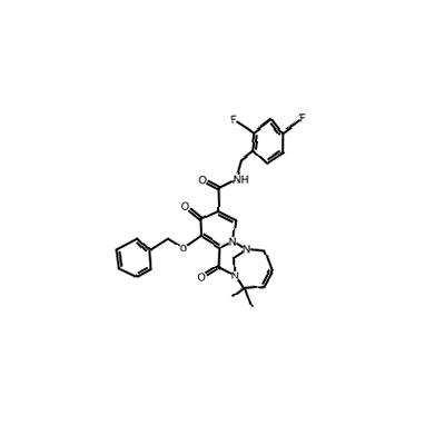 CC1(C)C=CCN2CN1C(=O)c1c(OCc3ccccc3)c(=O)c(C(=O)NCc3ccc(F)cc3F)cn12